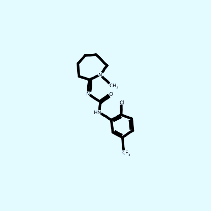 CN1CCCCC/C1=N/C(=O)Nc1cc(C(F)(F)F)ccc1Cl